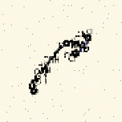 NC(Cc1ccc(OCCCCCCNC(=O)CNc2cc(C(=O)NCC(O)CN3CCc4ccccc4C3)ncn2)cc1)C(=O)N1C/C(=C\c2ccc(Cl)c(Cl)c2)C(=O)/C(=C/c2ccc(Cl)c(Cl)c2)C1